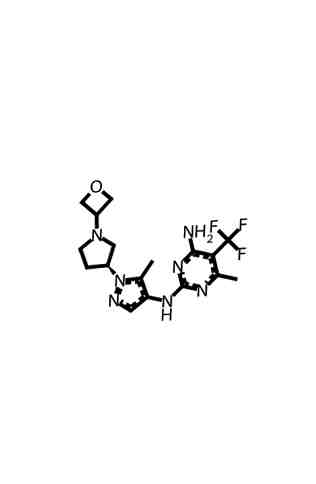 Cc1nc(Nc2cnn([C@H]3CCN(C4COC4)C3)c2C)nc(N)c1C(F)(F)F